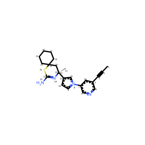 CC#Cc1cncc(-n2ccc([C@]3(C)CC4(CCCCC4)SC(N)=N3)c2)c1